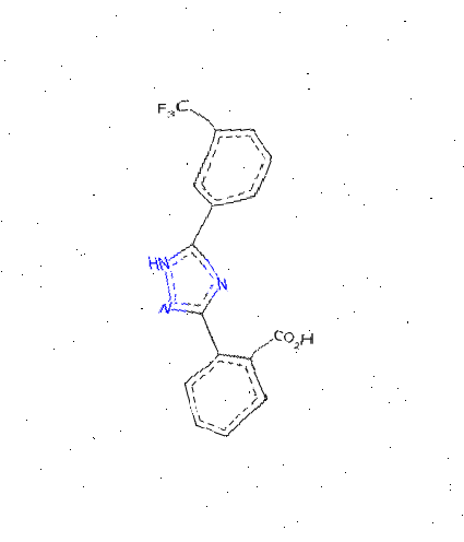 O=C(O)c1ccccc1-c1n[nH]c(-c2cccc(C(F)(F)F)c2)n1